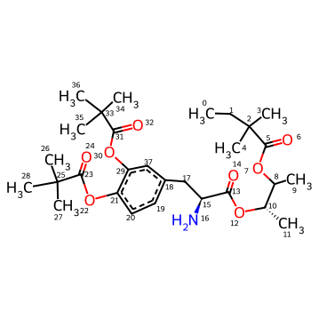 CCC(C)(C)C(=O)OC(C)[C@H](C)OC(=O)[C@@H](N)Cc1ccc(OC(=O)C(C)(C)C)c(OC(=O)C(C)(C)C)c1